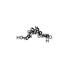 COc1nc(-c2ccnc(-c3cccc(NC(=O)c4cc5c(cn4)CCN(CCO)C5)c3C)c2Cl)ccc1CNC[C@@H]1CCC(=O)N1